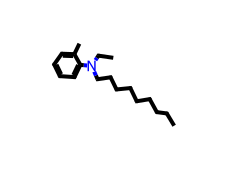 CCCCCCCCCN(CC)c1ccccc1C